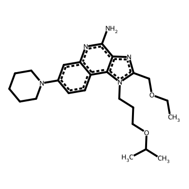 CCOCc1nc2c(N)nc3cc(N4CCCCC4)ccc3c2n1CCCOC(C)C